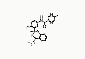 Cc1cnc(C(=O)Nc2ccc(F)c(C3(C)N=C(N)c4ccccc4S3)c2)cn1